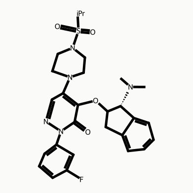 CC(C)S(=O)(=O)N1CCN(c2cnn(-c3cccc(F)c3)c(=O)c2OC2Cc3ccccc3[C@H]2N(C)C)CC1